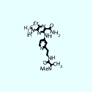 CCc1nc(C(N)=O)c(Nc2ccnc(CCNC(=O)C(C)NC)c2)nc1N(C)C(C)C